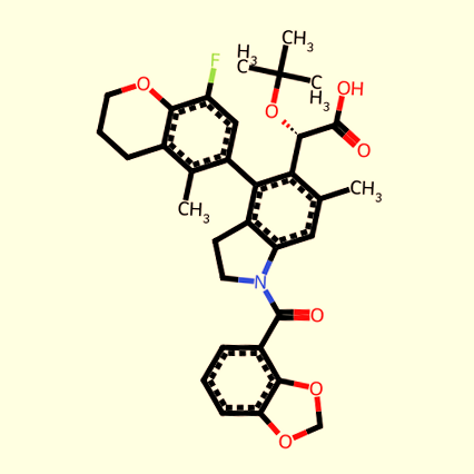 Cc1cc2c(c(-c3cc(F)c4c(c3C)CCCO4)c1[C@H](OC(C)(C)C)C(=O)O)CCN2C(=O)c1cccc2c1OCO2